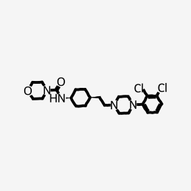 O=C(N[C@H]1CC[C@H](CCN2CCN(c3cccc(Cl)c3Cl)CC2)CC1)N1CCOCC1